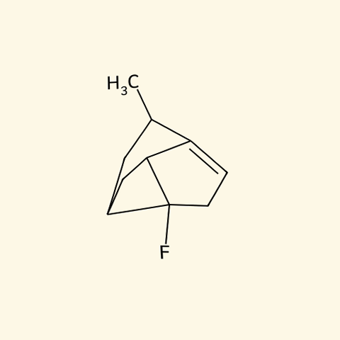 CC1CC2CC3C1=CCC23F